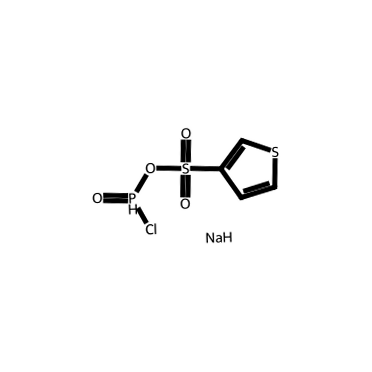 O=[PH](Cl)OS(=O)(=O)c1ccsc1.[NaH]